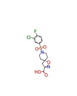 O=C(O)C1=NOC2(CCN(S(=O)(=O)c3ccc(F)c(Cl)c3)CC2)C1